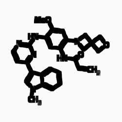 C=CC(=O)Nc1cc(Nc2nccc(-c3cn(C)c4ccccc34)n2)c(OC)cc1N1CC2(COC2)C1